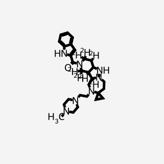 [2H]C1C2NN3CCC4(CC4)N(CCN4CCN(C)CC4)CC3([2H])C2([2H])C([2H])([2H])N(C(=O)c2cc3ccccc3[nH]2)C1([2H])[2H]